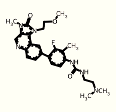 COCCn1c(=O)n(C)c2cnc3ccc(-c4ccc(NC(=O)NCCN(C)C)c(C)c4F)cc3c21